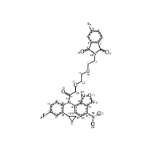 O=C1c2ccc(F)cc2C(=O)N1CCOCCOCC(=O)N(c1ccc(F)cc1C1CC1)c1ccc([N+](=O)[O-])c2nonc12